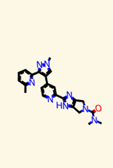 Cc1cccc(-c2nn(C)cc2-c2ccnc(-c3nc4c([nH]3)CN(C(=O)N(C)C)C4)c2)n1